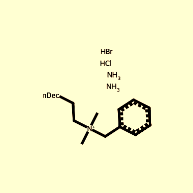 Br.CCCCCCCCCCCC[N+](C)(C)Cc1ccccc1.Cl.N.N